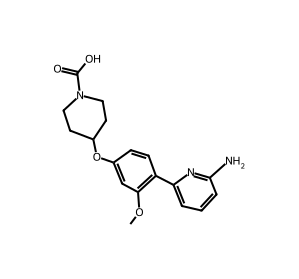 COc1cc(OC2CCN(C(=O)O)CC2)ccc1-c1cccc(N)n1